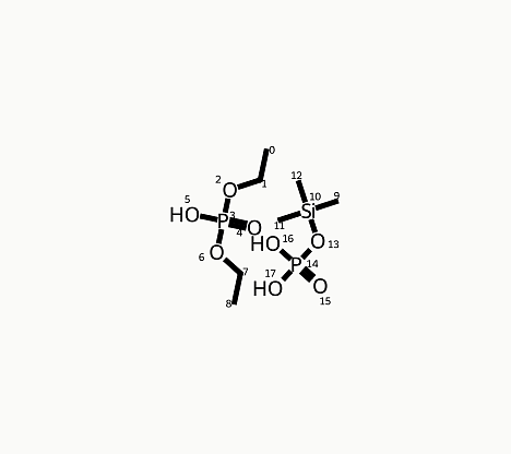 CCOP(=O)(O)OCC.C[Si](C)(C)OP(=O)(O)O